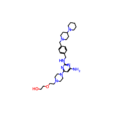 Nc1cc(N2CCN(CCOCCO)CC2)nc(NCc2ccc(CN3CCC(N4CCCCC4)CC3)cc2)n1